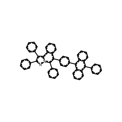 c1ccc(-c2nn3c(-c4ccccc4)c(-c4ccc(-c5c6ccccc6c(-c6ccccc6)c6ccccc56)cc4)c4ccccc4c3c2-c2ccccc2)cc1